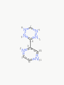 c1cnc(-c2nncnn2)cn1